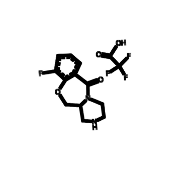 O=C(O)C(F)(F)F.O=C1c2cccc(F)c2OCC2CNCCN12